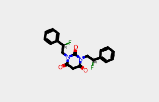 O=C1CC(=O)N(C[C@H](F)c2ccccc2)C(=O)N1C[C@H](F)c1ccccc1